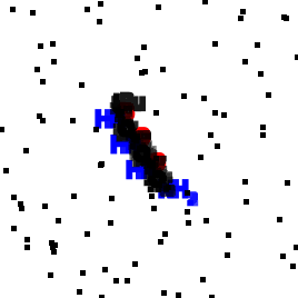 CC(C)(C)CC(=O)Nc1ccc(C(=O)Nc2ccc(C(=O)Nc3ccc(N)cc3)cc2)cc1